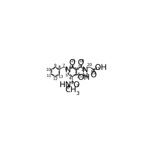 CNC(=O)c1cn(Cc2ccccc2)c(=O)c(C(=O)NCC(=O)O)c1O